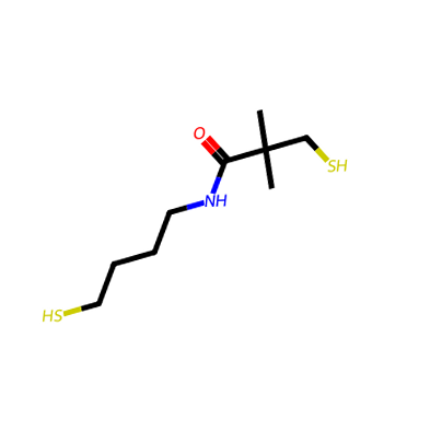 CC(C)(CS)C(=O)NCCCCS